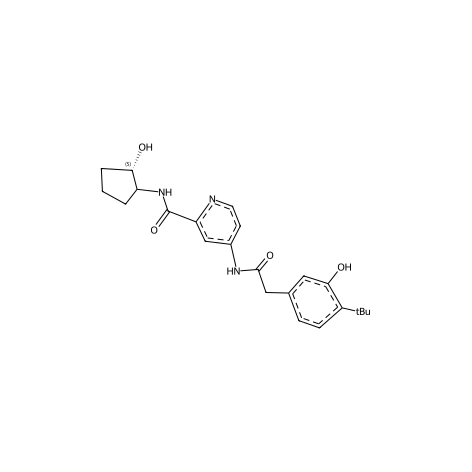 CC(C)(C)c1ccc(CC(=O)Nc2ccnc(C(=O)NC3CCC[C@@H]3O)c2)cc1O